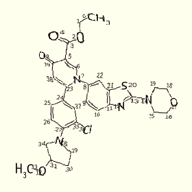 CCOC(=O)c1cn(-c2ccc3nc(N4CCOCC4)sc3c2)c(-c2ccc(N3CCC(OC)C3)c(Cl)c2)cc1=O